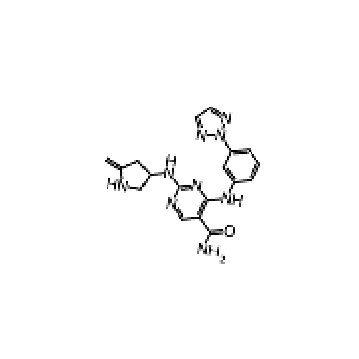 C=C1CC(Nc2ncc(C(N)=O)c(Nc3cccc(-n4nccn4)c3)n2)CN1